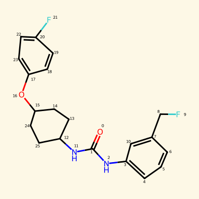 O=C(Nc1cccc(CF)c1)NC1CCC(Oc2ccc(F)cc2)CC1